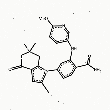 COc1ccc(Nc2cc(-n3c(C)cc4c3CC(C)(C)CC4=O)ccc2C(N)=O)cn1